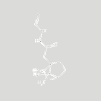 CC1(C)C2CCC1(CC(=O)NNC=O)C(=O)C2